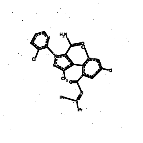 CC(C)S(=NC(=O)c1cc(Cl)cc(Cl)c1-c1c(C(F)(F)F)nn(-c2ncccc2Cl)c1C(N)=O)C(C)C